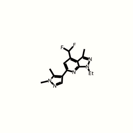 CCn1nc(C)c2c(C(F)F)cc(-c3cnn(C)c3C)nc21